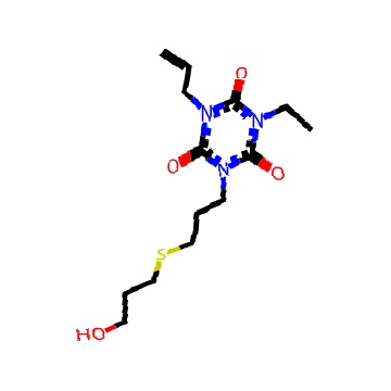 C=CCn1c(=O)n(CC)c(=O)n(CCCSCCCO)c1=O